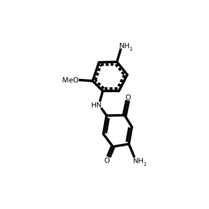 COc1cc(N)ccc1NC1=CC(=O)C(N)=CC1=O